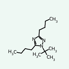 CCCCc1nc(CCCC)n(C(C)(C)C)n1